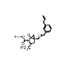 C=CCc1cccc(COC[C@@]23C[C@@H](C(=O)O)N(C(=O)OC(C)(C)C)[C@@H]2C3)c1